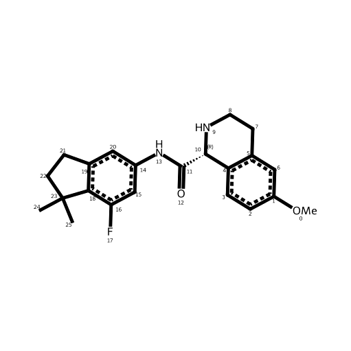 COc1ccc2c(c1)CCN[C@H]2C(=O)Nc1cc(F)c2c(c1)CCC2(C)C